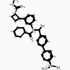 [2H]C(c1ccc(-c2ccc(N(C)C)cc2)cc1)N(C(=O)C1CCCCC1)c1cccc(C2CC[C@H]2C(=O)OC)c1